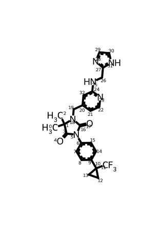 CC1(C)C(=O)N(c2ccc(C3(C(F)(F)F)CC3)cc2)C(=O)N1Cc1ccnc(NCc2ncc[nH]2)c1